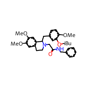 CCC(C)Oc1cc(CC2c3cc(OC)c(OC)cc3CCN2CC(=O)NCc2ccccc2)ccc1OC